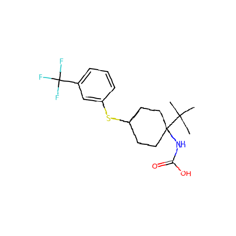 CC(C)(C)C1(NC(=O)O)CCC(Sc2cccc(C(F)(F)F)c2)CC1